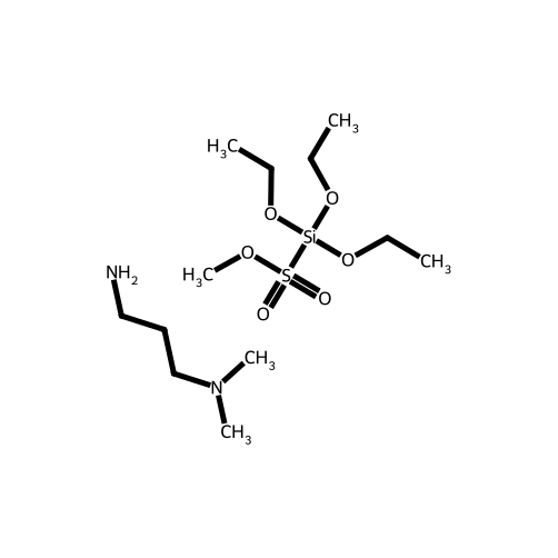 CCO[Si](OCC)(OCC)S(=O)(=O)OC.CN(C)CCCN